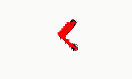 CCCCCC[N+]1(C)CCCC1.CCCCCC[N+]1(C)CCCC1.CCCCCC[N+]1(C)CCCC1.CCCCCC[N+]1(C)CCCC1.CCCCCC[N+]1(C)CCCC1.CCCCCC[N+]1(C)CCCC1.CCCCCC[N+]1(C)CCCC1.CCCCCC[N+]1(C)CCCC1.[O-]B([O-])F.[O-]B([O-])F.[O-]B([O-])F.[O-]B([O-])F